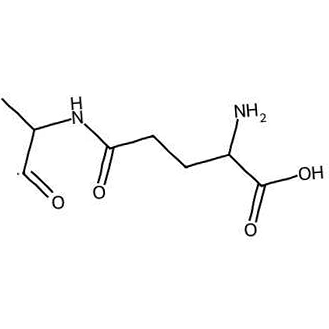 CC([C]=O)NC(=O)CCC(N)C(=O)O